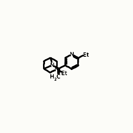 C=C(c1ccc(CC)nc1)N1C2CC1CN(CC)C2